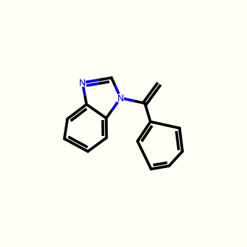 C=C(c1ccccc1)n1cnc2ccccc21